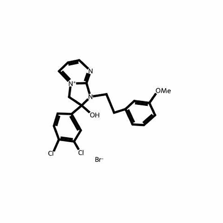 COc1cccc(CCN2c3nccc[n+]3CC2(O)c2ccc(Cl)c(Cl)c2)c1.[Br-]